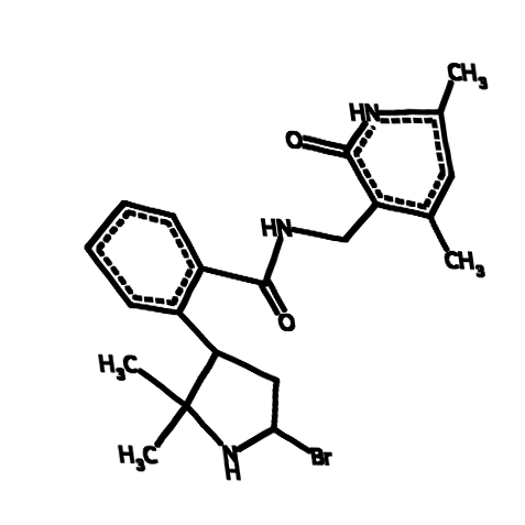 Cc1cc(C)c(CNC(=O)c2ccccc2C2CC(Br)NC2(C)C)c(=O)[nH]1